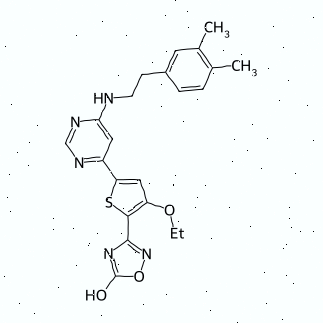 CCOc1cc(-c2cc(NCCc3ccc(C)c(C)c3)ncn2)sc1-c1noc(O)n1